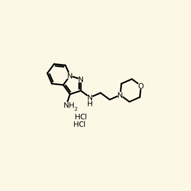 Cl.Cl.Nc1c(NCCN2CCOCC2)nn2ccccc12